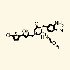 CC(C)OCCNC[C@@H]1CN(Cc2cc(-c3ccc(Cl)s3)on2)CC(=O)N1Cc1ccc(C#N)c(N)c1